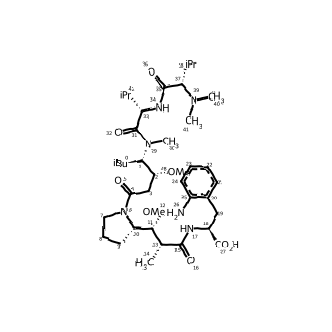 CC[C@H](C)[C@@H]([C@@H](CC(=O)N1CCC[C@H]1[C@H](OC)[C@@H](C)C(=O)N[C@@H](Cc1ccccc1N)C(=O)O)OC)N(C)C(=O)[C@@H](NC(=O)[C@H](C(C)C)N(C)C)C(C)C